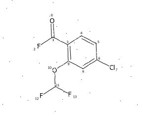 O=C(F)c1ccc(Cl)cc1OC(F)F